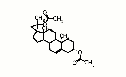 CC(=O)O[C@H]1CC[C@@]2(C)C(=CCC3C2CC[C@@]2(C)C3CCC23CC3(C)OC(C)=O)C1